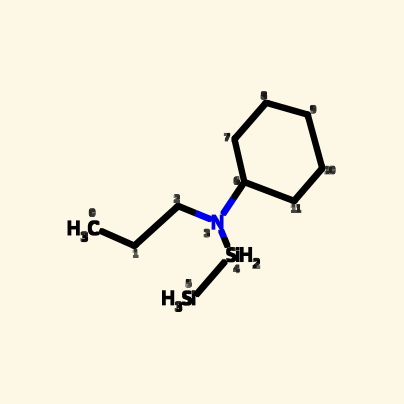 CCCN([SiH2][SiH3])C1CCCCC1